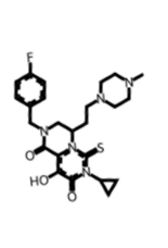 CN1CCN(CCC2CN(Cc3ccc(F)cc3)C(=O)c3c(O)c(=O)n(C4CC4)c(=S)n32)CC1